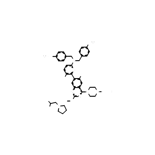 COc1ccc(CN(Cc2ccc(OC)cc2)c2ccc(C(F)(F)F)c(-c3cc4nc(OC[C@@H]5CCCN5CC(F)F)nc(N5CCN(C(=O)O)CC5)c4cc3Cl)n2)cc1